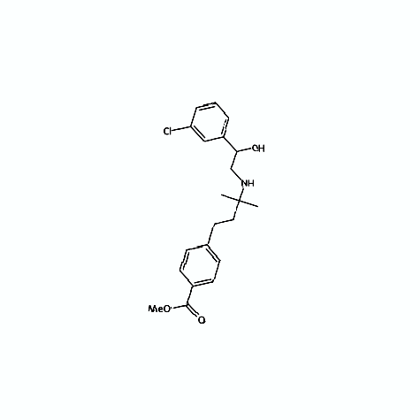 COC(=O)c1ccc(CCC(C)(C)NCC(O)c2cccc(Cl)c2)cc1